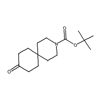 CC(C)(C)OC(=O)N1C[CH]C2(CCC(=O)CC2)CC1